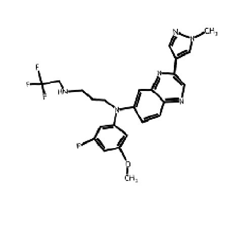 COc1cc(F)cc(N(CCCNCC(F)(F)F)c2ccc3ncc(-c4cnn(C)c4)nc3c2)c1